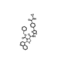 O=C(NC1CC1)c1ccc(-c2csc(NC(=O)C3CSC(c4ccnc5ccccc45)N3C(=O)OCc3ccccc3)n2)cc1